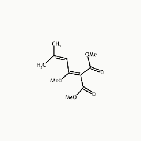 COC(=O)C(C(=O)OC)=C(C=C(C)C)OC